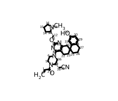 C=CC(=O)N1CCN(c2nc(OC[C@@H]3CCCN3C)nc3c2CCC2(CCCc4ccc(O)cc42)C3)C[C@@H]1CC#N